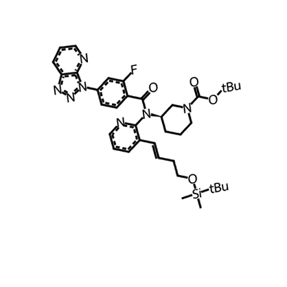 CC(C)(C)OC(=O)N1CCC[C@@H](N(C(=O)c2ccc(-n3nnc4cccnc43)cc2F)c2ncccc2/C=C/CCO[Si](C)(C)C(C)(C)C)C1